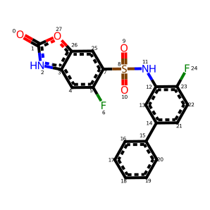 O=c1[nH]c2cc(F)c(S(=O)(=O)Nc3cc(-c4ccccc4)ccc3F)cc2o1